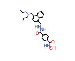 CCCN(CCC)Cc1ccc(CNNC(=O)c2ccc(C(=O)NO)cc2)c2ccccc12